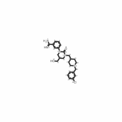 N=C(N)c1cccc(N2CC(CO)CN(CC3CCN(Cc4cccc(Cl)c4)CC3)C2=O)c1